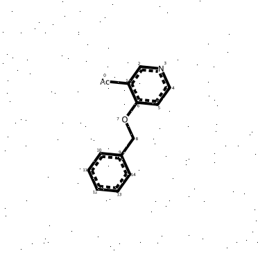 CC(=O)c1cnccc1OCc1ccccc1